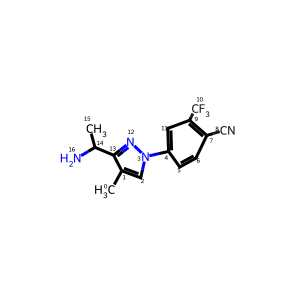 Cc1cn(-c2ccc(C#N)c(C(F)(F)F)c2)nc1C(C)N